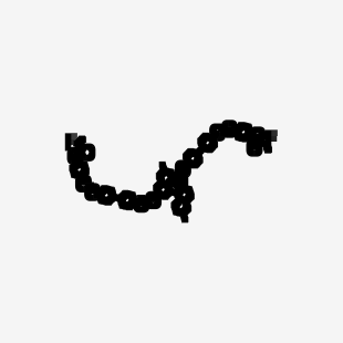 C=C(F)C(=O)Oc1ccc(OCOc2ccc(-c3ccc(OCOc4cc(-c5c(OCOc6ccc(-c7ccc(OCOc8ccc(OC(=O)C(=C)F)cc8)cc7)cc6)ccc6cc(C)ccc56)c5ccc(C)cc5c4)cc3)cc2)cc1